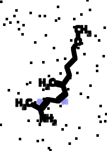 C=C(/C=C\C=C(\C)N)CCCCOC